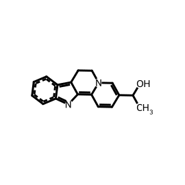 CC(O)C1=CN2CCC3=c4ccccc4=NC3=C2C=C1